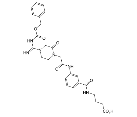 N=C(NC(=O)OCc1ccccc1)N1CCN(CC(=O)Nc2cccc(C(=O)NCCCC(=O)O)c2)C(=O)C1